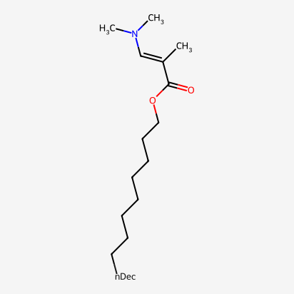 CCCCCCCCCCCCCCCCCCOC(=O)C(C)=CN(C)C